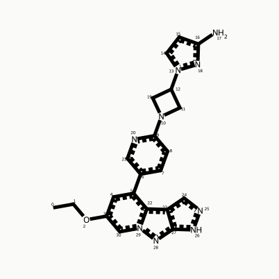 CCOc1cc(-c2ccc(N3CC(n4ccc(N)n4)C3)nc2)c2c3cn[nH]c3nn2c1